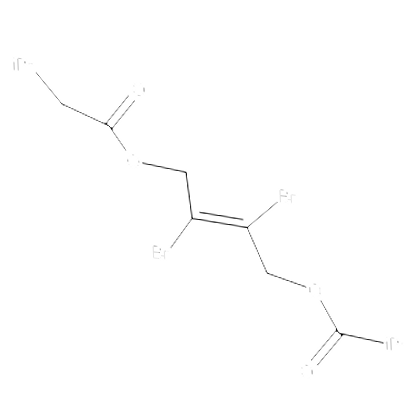 CC(C)CC(=O)OC/C(Br)=C(\Br)COC(=O)C(C)C